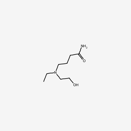 CCN(CCO)CCCC(N)=O